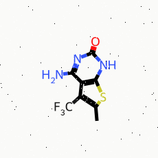 Cc1sc2[nH]c(=O)nc(N)c2c1C(F)(F)F